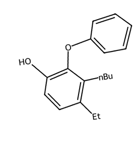 CCCCc1c(CC)ccc(O)c1Oc1ccccc1